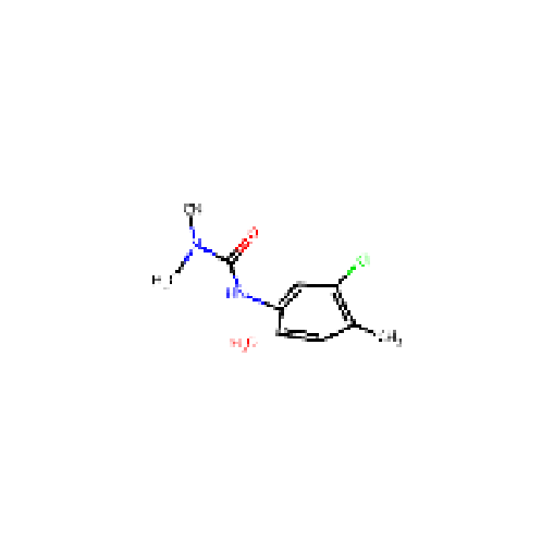 Cc1ccc(NC(=O)N(C)C#N)cc1Cl.O